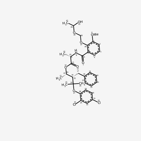 COc1ccnc(C(=O)N[C@@H](C)C(=O)O[C@@H](C)[C@H](Cc2ccccc2)C(C)(C)Oc2ccc(Cl)cc2Cl)c1OCOC(C)O